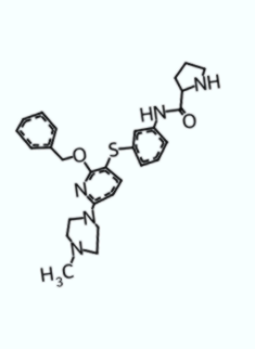 CN1CCN(c2ccc(Sc3cccc(NC(=O)C4CCCN4)c3)c(OCc3ccccc3)n2)CC1